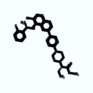 COC(=O)[C@H](CN)N1CCN(c2ncc(-c3ccc4ncc(Cl)c(N[C@H](C)c5ccccc5F)c4c3)cn2)CC1